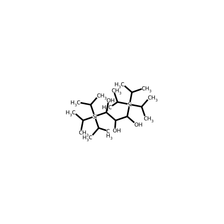 CC(C)[Si](C(C)C)(C(C)C)C(O)C(O)C(O)[Si](C(C)C)(C(C)C)C(C)C